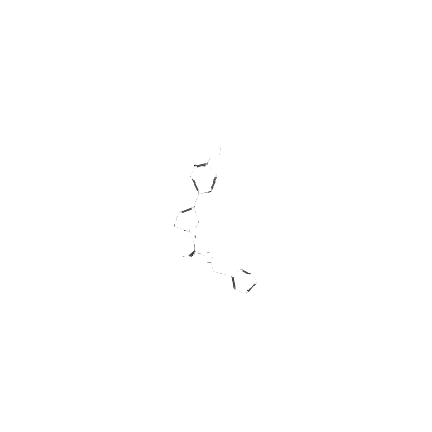 O=C(OCc1ccccc1)N1CC=C(c2ccc(Cl)cc2)C1